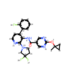 CC1(Oc2ncc(C(=O)Nc3c(-c4ccccc4F)ccnc3N3CCC(F)(F)C3)cn2)CC1